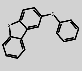 c1ccc(Sc2ccc3sc4ccccc4c3c2)cc1